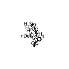 CCCCCCCCCCCCCC(=O)OC(C)C.O=C(O)c1ccccc1.[SiH3]O[SiH2]O[SiH2]O[SiH3]